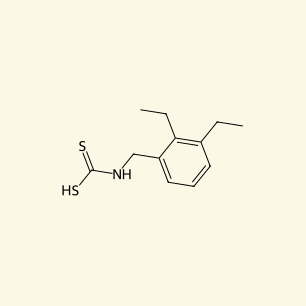 CCc1cccc(CNC(=S)S)c1CC